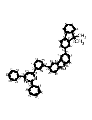 CC1(C)c2ccccc2-c2ccc(-c3ccc4oc5ccc(-c6cccc(-c7cc(-c8ccccc8)nc(-c8ccccc8)n7)c6)cc5c4c3)cc21